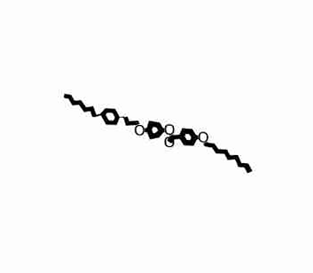 C=CCCCCCCCOc1ccc(C(=O)Oc2ccc(OCCC[C@H]3CC[C@H](CCCCCCC)CC3)cc2)cc1